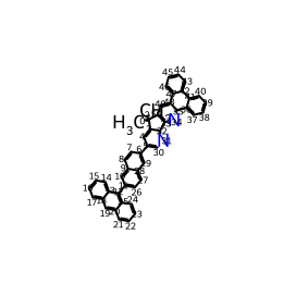 CC1(C)c2cc(-c3ccc4cc(-c5c6ccccc6cc6ccccc56)ccc4c3)cnc2-c2nc3c4ccccc4c4ccccc4c3cc21